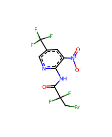 O=C(Nc1ncc(C(F)(F)F)cc1[N+](=O)[O-])C(F)(F)CBr